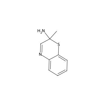 CC1(N)C=Nc2ccccc2S1